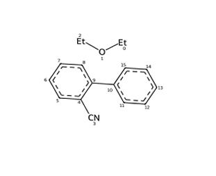 CCOCC.N#Cc1ccccc1-c1ccccc1